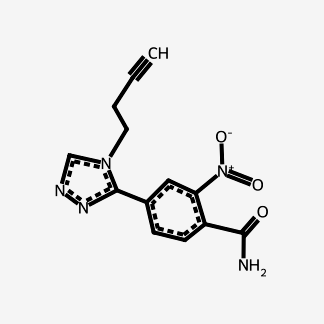 C#CCCn1cnnc1-c1ccc(C(N)=O)c([N+](=O)[O-])c1